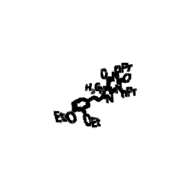 CCCn1c(=O)c2c(nc(C=Cc3ccc(OCC)c(OCC)c3)n2C)n(CCC)c1=O